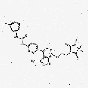 Cc1cccc(NC(=O)Nc2ccc(-c3ccc(OCCN4C(=O)N(C)C(C)(C)C4=O)c4[nH]nc(N)c34)cc2)c1